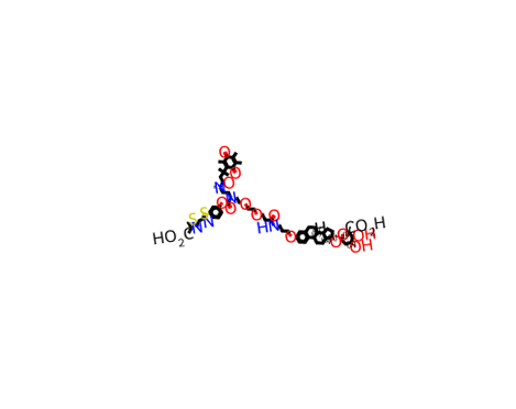 CC1=C(C)C(=O)C(C(C)(C)CC(=O)N(C)CCN(CCOCCOCCC(=O)NCCCOc2ccc3c(c2)CC[C@@H]2C3CC[C@@]3(C)C2CC[C@@H]3OC2C[C@H](O)C(O)[C@H](C(=O)O)O2)C(=O)Oc2ccc3nc(C4=NC(C(=O)O)CS4)sc3c2)=C(C)C1=O